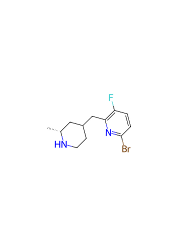 C[C@@H]1CC(Cc2nc(Br)ccc2F)CCN1